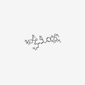 C=C/C(=C\C=C(/C=C)OC(=O)C(C)(CC)CC)Cc1ccc(OC(C)(CC)CC)cc1